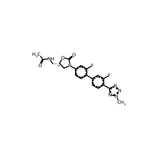 CC(=O)NC[C@H]1CN(c2ccc(-c3ccc(-c4nnn(C)n4)c(F)c3)c(F)c2)C(=O)O1